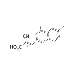 Cc1ccc2cc(/C=C(\C#N)C(=O)O)cc(C)c2c1